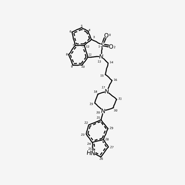 O=S1(=O)c2cccc3cccc(c23)N1CCCN1CCN(c2ccc3[nH]ccc3c2)CC1